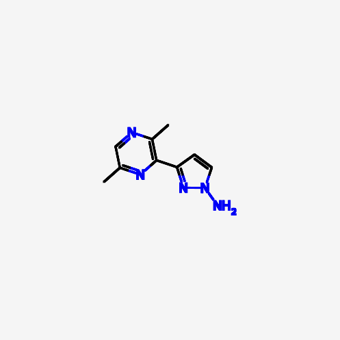 Cc1cnc(C)c(-c2ccn(N)n2)n1